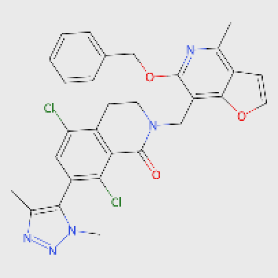 Cc1nnn(C)c1-c1cc(Cl)c2c(c1Cl)C(=O)N(Cc1c(OCc3ccccc3)nc(C)c3ccoc13)CC2